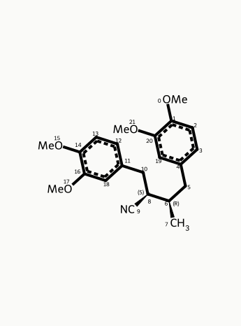 COc1ccc(C[C@@H](C)[C@@H](C#N)Cc2ccc(OC)c(OC)c2)cc1OC